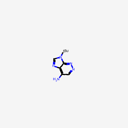 CC(C)(C)n1cnc2c(N)cnnc21